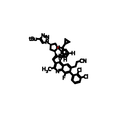 Cc1nc2c(F)c(-c3cccc(Cl)c3Cl)c(CCC#N)cc2c2c1cc([C@H]1C[C@H](n3cc(C(C)(C)C)nn3)CN1C(=O)C1CC1)n2[C@H]1[C@H]2CN[C@@H]1C2